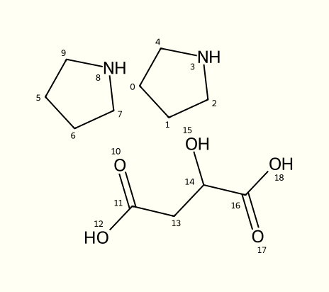 C1CCNC1.C1CCNC1.O=C(O)CC(O)C(=O)O